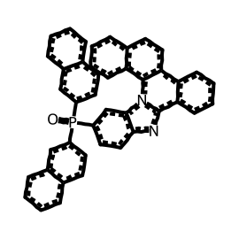 O=P(c1ccc2ccccc2c1)(c1ccc2ccccc2c1)c1ccc2nc3c4ccccc4c4ccc5ccccc5c4n3c2c1